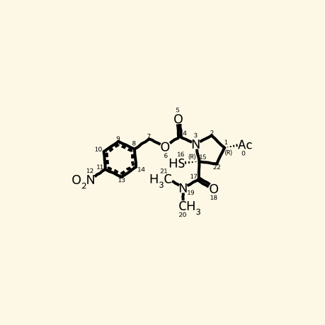 CC(=O)[C@H]1CN(C(=O)OCc2ccc([N+](=O)[O-])cc2)[C@](S)(C(=O)N(C)C)C1